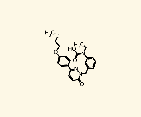 CCN(C(=O)O)c1cccc(Cn2nc(-c3ccc(OCCOC)cc3)ccc2=O)c1